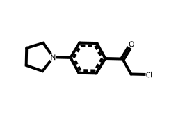 O=C(CCl)c1ccc(N2CCCC2)cc1